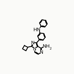 Nc1nccn2c(C3CCC3)nc(-c3cccc(Nc4ccccc4)c3)c12